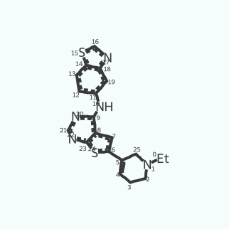 CCN1CCC=C(c2cc3c(Nc4ccc5scnc5c4)ncnc3s2)C1